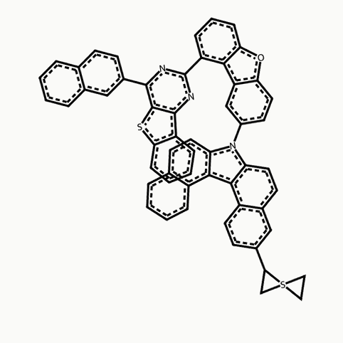 c1ccc2cc(-c3nc(-c4cccc5oc6ccc(-n7c8ccc9ccccc9c8c8c9ccc(C%10CS%10%11CC%11)cc9ccc87)cc6c45)nc4c3sc3ccccc34)ccc2c1